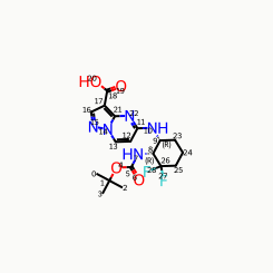 CC(C)(C)OC(=O)N[C@@H]1[C@H](Nc2ccn3ncc(C(=O)O)c3n2)CCCC1(F)F